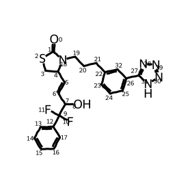 O=C1SCC(C=CC(O)C(F)(F)c2ccccc2)N1CCCc1cccc(-c2nnn[nH]2)c1